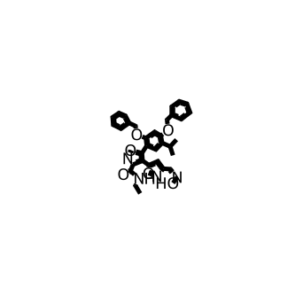 CCNC(=O)c1noc(-c2cc(C(C)C)c(OCc3ccccc3)cc2OCc2ccccc2)c1-c1cc(/C=N\O)no1